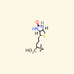 C[Si](C)(C)C(CCC[C@@H]1SC[C@@H]2NC(=O)N[C@@H]21)C(=O)O